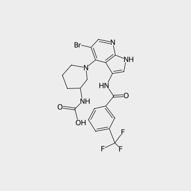 O=C(O)NC1CCCN(c2c(Br)cnc3[nH]cc(NC(=O)c4cccc(C(F)(F)F)c4)c23)C1